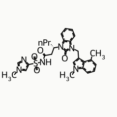 CCC[C@@H](CC(=O)NS(=O)(=O)c1cn(C)cn1)n1c(=O)n(Cc2cn(C)c3cccc(C)c23)c2ccccc21